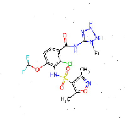 CCN1NNN=C1NC(=O)c1ccc(OC(F)F)c(NS(=O)(=O)c2c(C)noc2C)c1Cl